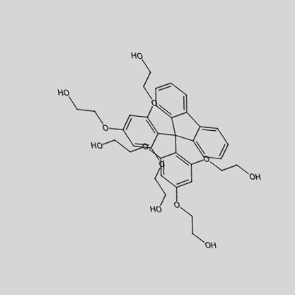 OCCOc1cc(OCCO)c(C2(c3c(OCCO)cc(OCCO)cc3OCCO)c3ccccc3-c3ccccc32)c(OCCO)c1